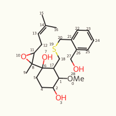 COC1C(O)CCC(O)(C2(C)OC2CC=C(C)C)C1CSCc1ccccc1CO